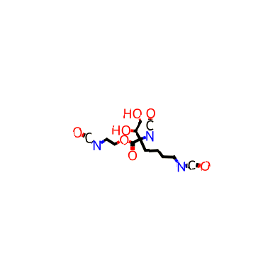 O=C=NCCCCC(N=C=O)(C(=O)OCCN=C=O)C(O)CO